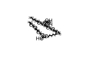 CCCCCCOCC(O)OCCOCCOCCOCC.CCCCCCOCCOCCOCCOCCOCC.O=S(=O)(O)O